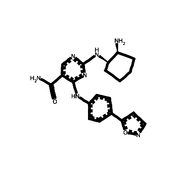 NC(=O)c1cnc(N[C@@H]2CCCC[C@@H]2N)nc1Nc1ccc(-c2ccno2)cc1